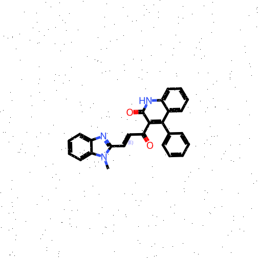 Cn1c(/C=C/C(=O)c2c(-c3ccccc3)c3ccccc3[nH]c2=O)nc2ccccc21